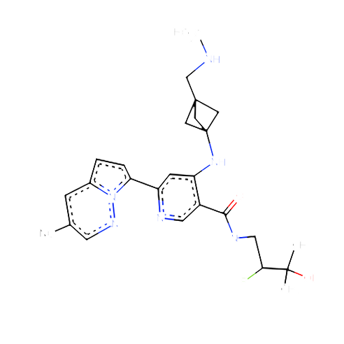 CC(C)(O)C(F)CNC(=O)c1cnc(-c2ccc3cc(C#N)cnn23)cc1NC12CC(CNC(=O)O)(C1)C2